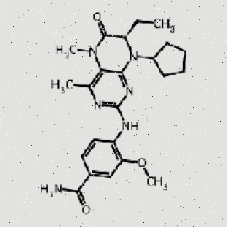 CC[C@@H]1C(=O)N(C)c2c(C)nc(Nc3ccc(C(N)=O)cc3OC)nc2N1C1CCCC1